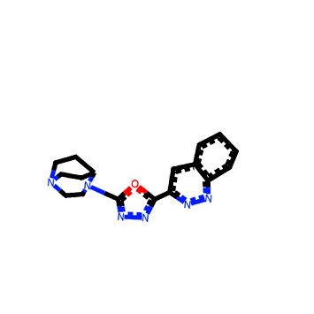 c1ccc2nnc(-c3nnc(N4CCN5CCC4CC5)o3)cc2c1